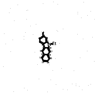 CCn1c2cc(C)ccc2c2cc3ccccc3cc21